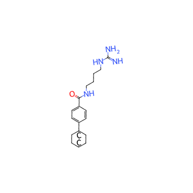 N=C(N)NCCCCNC(=O)c1ccc(C23CCC(CC2)CC3)cc1